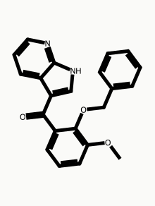 COc1cccc(C(=O)c2c[nH]c3ncccc23)c1OCc1ccccc1